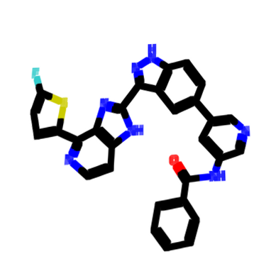 O=C(Nc1cncc(-c2ccc3[nH]nc(-c4nc5c(-c6ccc(F)s6)nccc5[nH]4)c3c2)c1)c1ccccc1